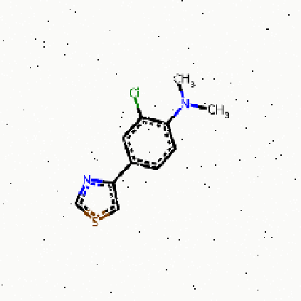 CN(C)c1ccc(-c2cs[c]n2)cc1Cl